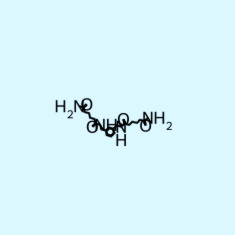 NC(=O)CCCCC(=O)NCc1cccc(CNC(=O)CCCCC(N)=O)c1